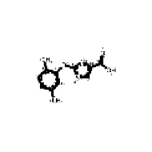 Cc1ccc(C)c(Oc2nc(C(=O)O)cs2)c1